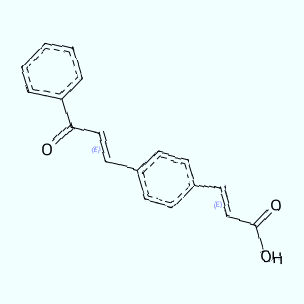 O=C(O)/C=C/c1ccc(/C=C/C(=O)c2ccccc2)cc1